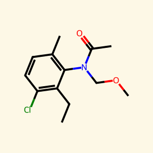 CCc1c(Cl)ccc(C)c1N(COC)C(C)=O